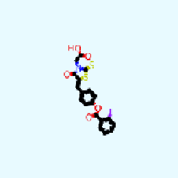 O=C(O)CN1C(=O)C(=Cc2ccc(OC(=O)c3ccccc3I)cc2)SC1=S